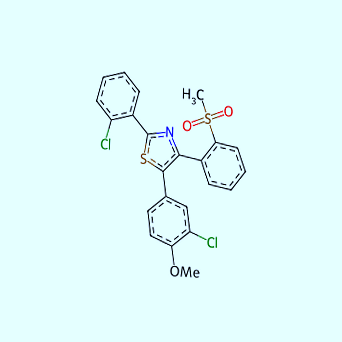 COc1ccc(-c2sc(-c3ccccc3Cl)nc2-c2ccccc2S(C)(=O)=O)cc1Cl